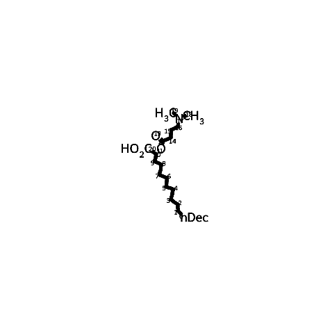 CCCCCCCCCCCCCCCCCCCC(OC(=O)CCCN(C)C)C(=O)O